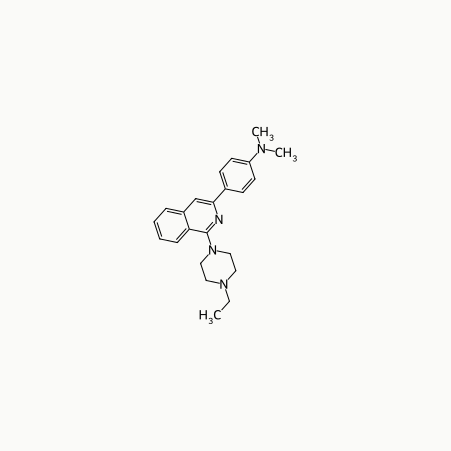 CCN1CCN(c2nc(-c3ccc(N(C)C)cc3)cc3ccccc23)CC1